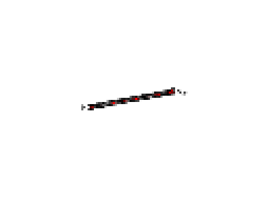 COS(=S)(=S)SSSSSSSSSSSSSSSSSSSSSSSSSSSSSSSSSSSSSSSSSSSSSSSSSSSSSSSSSSSSSSSSSSSSSSSSSSSSSSSSSSSSSSSSO